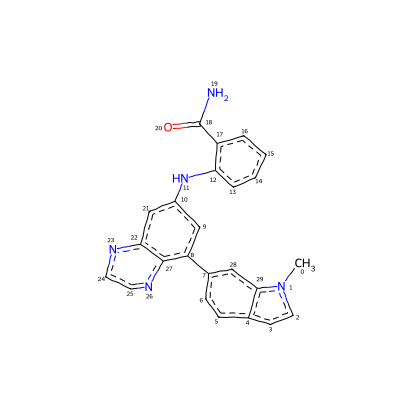 Cn1ccc2ccc(-c3cc(Nc4ccccc4C(N)=O)cc4nccnc34)cc21